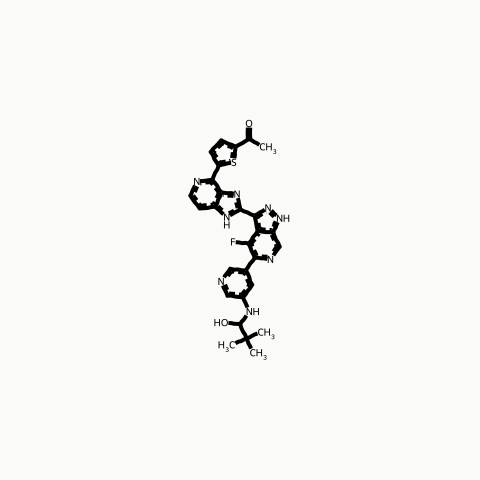 CC(=O)c1ccc(-c2nccc3[nH]c(-c4n[nH]c5cnc(-c6cncc(NC(O)C(C)(C)C)c6)c(F)c45)nc23)s1